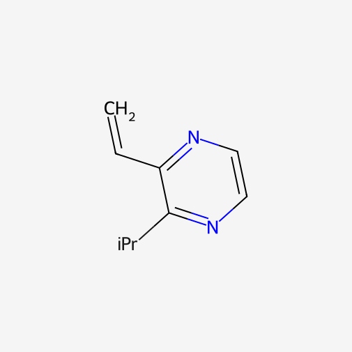 C=Cc1nccnc1C(C)C